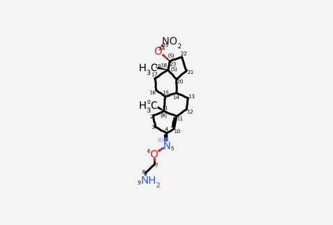 C[C@]12CC/C(=N\OCCN)C=C1CCC1C2CC[C@@]2(C)C1CC[C@@H]2O[N+](=O)[O-]